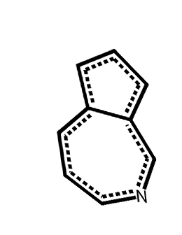 c1cncc2cccc-2c1